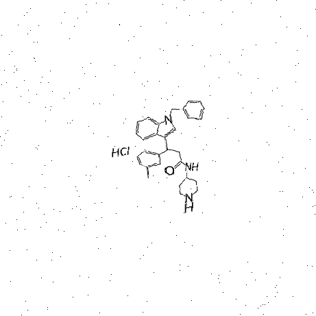 Cc1cccc(C(CC(=O)NC2CCNCC2)c2cn(Cc3ccccc3)c3ccccc23)c1.Cl